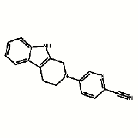 N#Cc1ccc(N2CCc3c([nH]c4ccccc34)C2)cn1